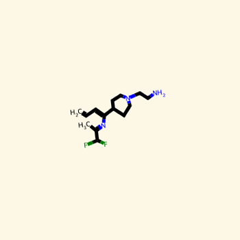 C=C/C=C(\N=C(/C)C(F)F)C1CCN(CCN)CC1